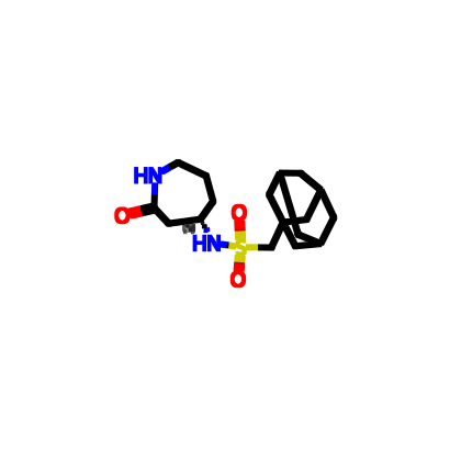 O=C1C[C@@H](NS(=O)(=O)CC23CC4CC(CC(C4)C2)C3)CCCN1